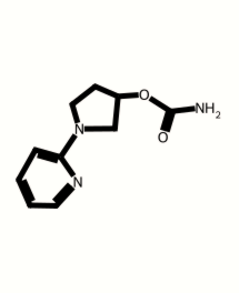 NC(=O)OC1CCN(c2ccccn2)C1